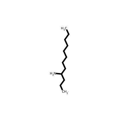 [CH2]CCC(N)CCCCCCCC